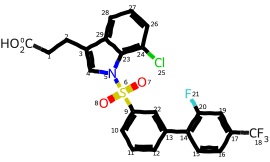 O=C(O)CCc1cn(S(=O)(=O)c2cccc(-c3ccc(C(F)(F)F)cc3F)c2)c2c(Cl)cccc12